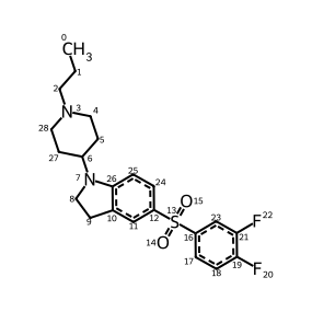 CCCN1CCC(N2CCc3cc(S(=O)(=O)c4ccc(F)c(F)c4)ccc32)CC1